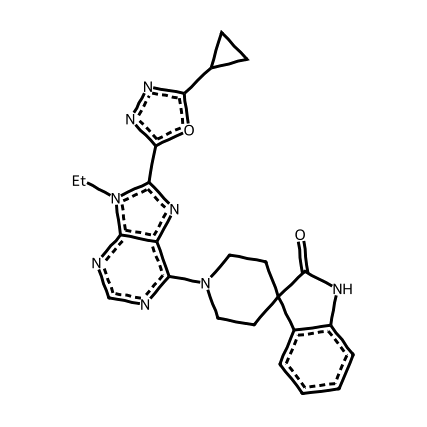 CCn1c(-c2nnc(C3CC3)o2)nc2c(N3CCC4(CC3)C(=O)Nc3ccccc34)ncnc21